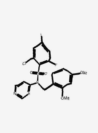 COc1ccc(CN(c2ccncn2)S(=O)(=O)c2c(F)cc(F)cc2Cl)c(OC)c1